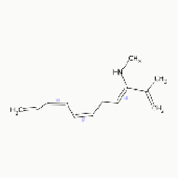 C=C/C=C\C=C/C/C=C(\NC)C(=C)C